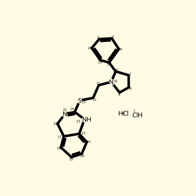 Cl.Cl.c1ccc(C2CCCN2CCSC2=NCc3ccccc3N2)cc1